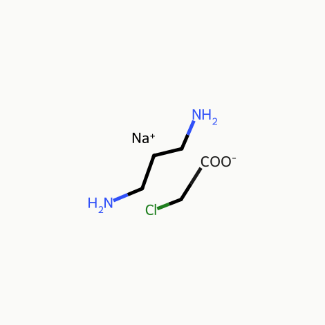 NCCCN.O=C([O-])CCl.[Na+]